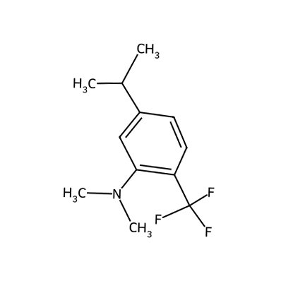 CC(C)c1ccc(C(F)(F)F)c(N(C)C)c1